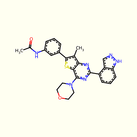 CC(=O)Nc1cccc(-c2sc3c(N4CCOCC4)nc(-c4cccc5[nH]ncc45)nc3c2C)c1